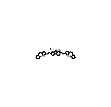 CC1(C)c2cc(/C=C/c3ccc4c(c3)Nc3ccccc3C=C4)ccc2-c2ccc(/C=C/c3ccc4c(c3)Nc3ccccc3C=C4)cc21